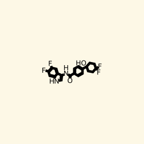 O=C(Nc1c[nH]c2cc(F)c(F)cc12)c1ccc(C2(O)CCC(F)(F)CC2)cc1